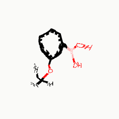 [2H]C([2H])([2H])Oc1ccccc1B(O)O